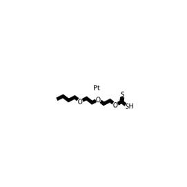 CCCCOCCOCCOC(=S)S.[Pt]